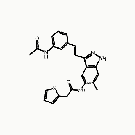 CC(=O)Nc1cccc(/C=C/c2n[nH]c3cc(C)c(NC(=O)Cc4cccs4)cc23)c1